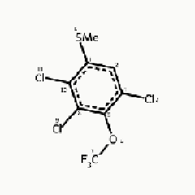 CSc1cc(Cl)c(OC(F)(F)F)c(Cl)c1Cl